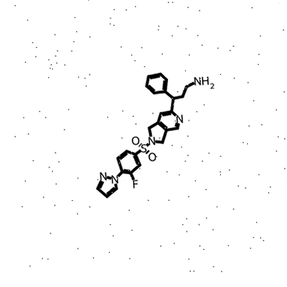 NCCC(c1ccccc1)c1cc2c(cn1)CN(S(=O)(=O)c1ccc(-n3cccn3)c(F)c1)C2